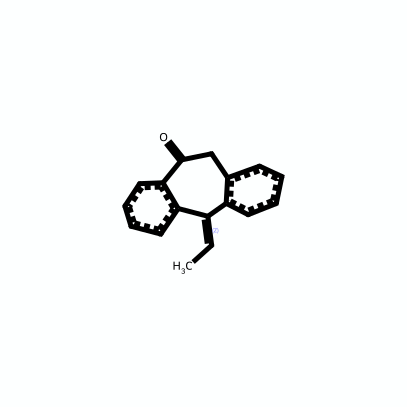 C/C=C1/c2ccccc2CC(=O)c2ccccc21